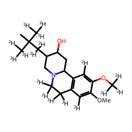 [2H]c1c(OC([2H])([2H])[2H])c(OC)c([2H])c2c1C1CC(O)C(C([2H])([2H])C(C)(C([2H])([2H])[2H])C([2H])([2H])[2H])CN1C([2H])([2H])C2([2H])[2H]